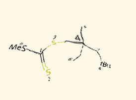 CSC(=S)SC(C)(C)CC(C)(C)C